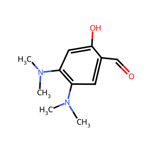 CN(C)c1cc(O)c(C=O)cc1N(C)C